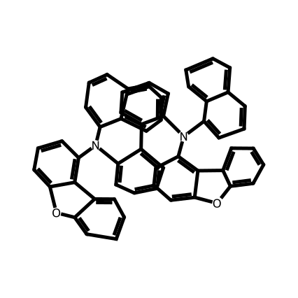 c1ccc(N(c2cccc3ccccc23)c2cccc3oc4ccccc4c23)c(-c2ccccc2N(c2cccc3ccccc23)c2cccc3oc4ccccc4c23)c1